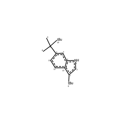 CC(C)(C)c1c[nH]c2cc(C(C)(C)C(C)(C)C)ccc12